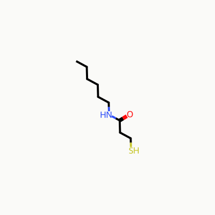 CCCCCCNC(=O)CCS